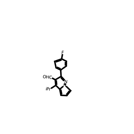 CC(C)c1c(C=O)c(-c2ccc(F)cc2)nn2cccc12